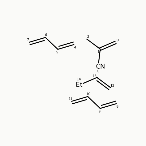 C=C(C)C#N.C=CC=C.C=CC=C.C=CCC